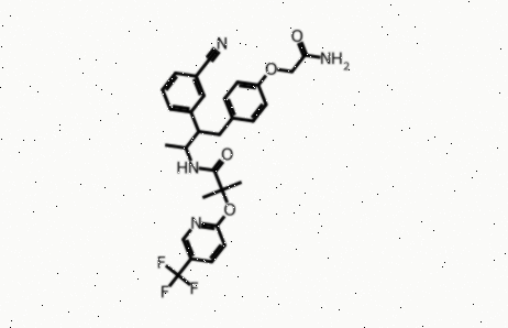 CC(NC(=O)C(C)(C)Oc1ccc(C(F)(F)F)cn1)C(Cc1ccc(OCC(N)=O)cc1)c1cccc(C#N)c1